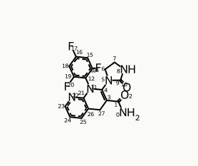 NC(=O)C1=C(N2CCNC2=O)N(c2c(F)cc(F)cc2F)c2ncccc2C1